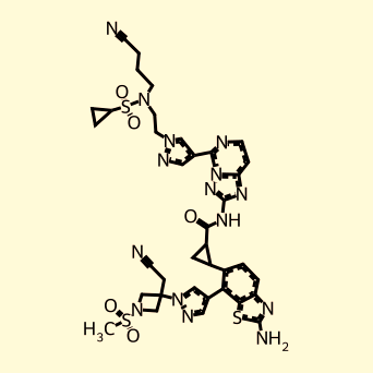 CS(=O)(=O)N1CC(CC#N)(n2cc(-c3c(C4CC4C(=O)Nc4nc5ccnc(-c6cnn(CCN(CCCC#N)S(=O)(=O)C7CC7)c6)n5n4)ccc4nc(N)sc34)cn2)C1